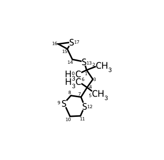 CC(C)(CC(C)(C)C1CSCCS1)SCC1CS1